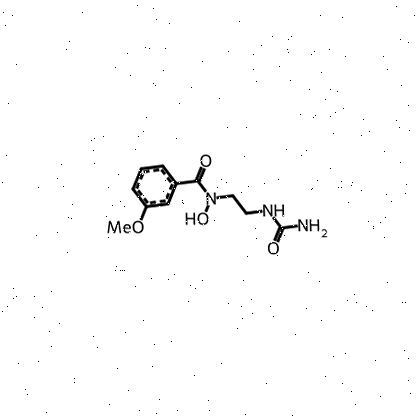 COc1cccc(C(=O)N(O)CCNC(N)=O)c1